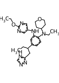 CCOc1ncc(Nc2cc(C(CC)Cc3nnc[nH]3)ccc2N(CC)C2CCOCC2)cn1